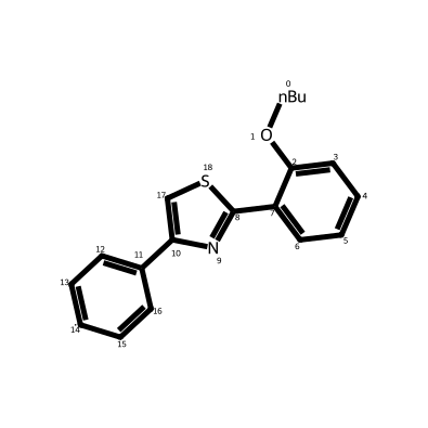 CCCCOc1ccccc1-c1nc(-c2cc[c]cc2)cs1